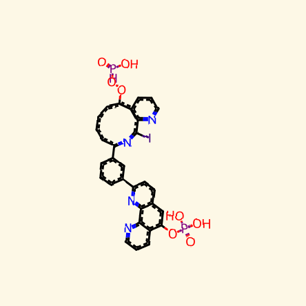 O=[PH](O)OOc1ccccc(-c2cccc(-c3ccc4cc(OP(=O)(O)O)c5cccnc5c4n3)c2)nc(I)c2ncccc12